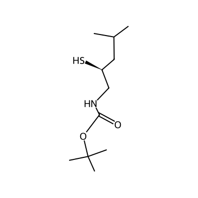 CC(C)C[C@H](S)CNC(=O)OC(C)(C)C